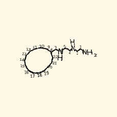 NCCNCCNCC1CCCCCCCCCCCCCC1